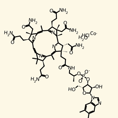 C/C1=C2/[N-]C([C@H](CC(N)=O)[C@@]2(C)CCC(=O)NC[C@H](C)OP(=O)([O-])O[C@H]2[C@@H](O)[C@@H](n3cnc4cc(C)c(C)cc43)O[C@@H]2CO)[C@]2(C)N=C(/C(C)=C3N=C(/C=C4N=C1[C@@H](CCC(N)=O)C\4(C)C)[C@@H](CCC(N)=O)[C@]\3(C)CC(N)=O)[C@@H](CCC(N)=O)[C@]2(C)CC(N)=O.Cl.O.[Co]